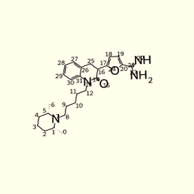 C[C@@H]1CCC[C@H](C)N1CCCCCN1C(=O)C(c2ccc(C(=N)N)o2)Cc2ccccc21